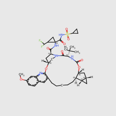 COc1ccc2cc3c(nc2c1)O[C@@H]1C[C@@H](C(=O)N[C@]2(C(=O)NS(=O)(=O)C4CC4)CC2C(F)F)N(C1)C(=O)[C@H](C(C)(C)C)NC(=O)O[C@@H]1C[C@@H]2C[C@@H]2[C@H]1CCCCC3